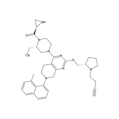 C#CCCN1CCC[C@H]1COc1nc2c(c(N3CCN(C(=O)[C@H]4CN4)[C@@H](CC#N)C3)n1)CCN(c1cccc3cccc(C)c13)C2